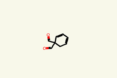 O=CC1(C=O)C=CC=CC1